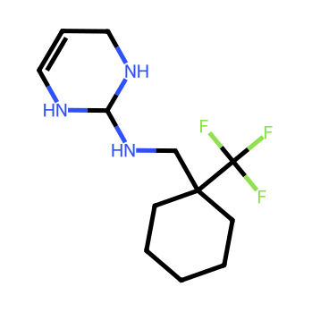 FC(F)(F)C1(CNC2NC=CCN2)CCCCC1